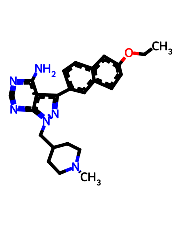 CCOc1ccc2cc(-c3nn(CC4CCN(C)CC4)c4ncnc(N)c34)ccc2c1